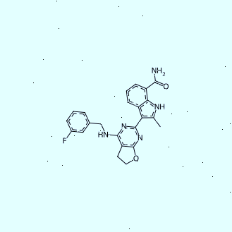 Cc1[nH]c2c(C(N)=O)cccc2c1-c1nc(NCc2cccc(F)c2)c2c(n1)OCC2